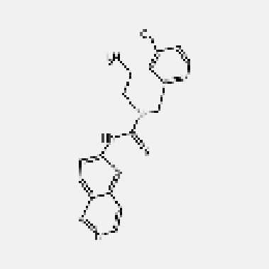 NCCN(Cc1cccc(Cl)c1)C(=S)Nc1ccc2cnccc2c1